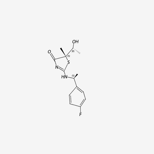 C[C@H](NC1=NC(=O)[C@](C)([C@@H](C)O)S1)c1ccc(F)cc1